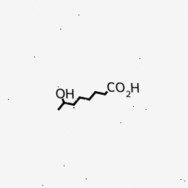 CC(O)[CH]CCCCC(=O)O